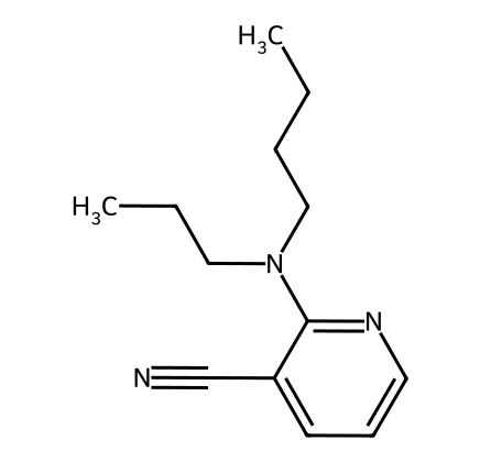 CCCCN(CCC)c1ncccc1C#N